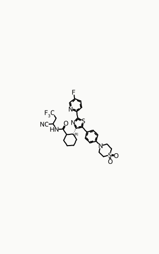 N#CC(CC(F)(F)F)NC(=O)C1CCCC[C@H]1c1nc(-c2ccc(F)cn2)sc1-c1ccc(N2CCS(=O)(=O)CC2)cc1